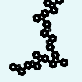 c1ccc(-n2c3ccccc3c3c(-c4ccc5c6ccccc6n(-c6ccc7oc8c(-c9cccc%10c9oc9ccc(-c%11ccc%12c(c%11)c%11c(-c%13ccc%14c%15ccccc%15n(-c%15cccc%16c%15oc%15ccc(-c%17cccc%18c%17oc%17ccccc%17%18)cc%15%16)c%14c%13)cccc%11n%12-c%11ccccc%11)cc9%10)cccc8c7c6)c5c4)cccc32)cc1